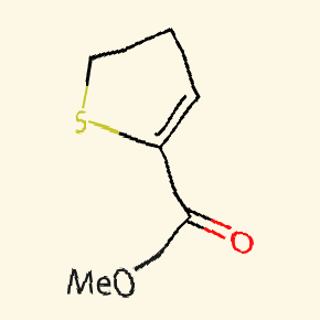 COC(=O)C1=CCCS1